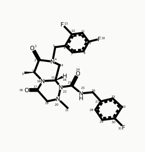 C[C@H]1C(=O)N(Cc2ccc(F)cc2F)C[C@H]2N1C(=O)CN(C)N2C(=O)NCc1ccc(F)cc1